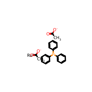 CC(=O)[O-].CC(=O)[O-].[Ru+2].c1ccc(P(c2ccccc2)c2ccccc2)cc1